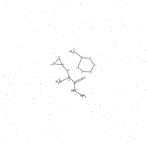 CC1CCCCC1.NNC(=O)N(N)CC1CO1